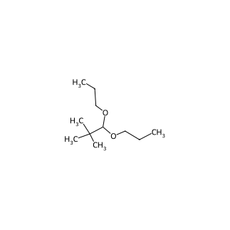 CCCOC(OCCC)C(C)(C)C